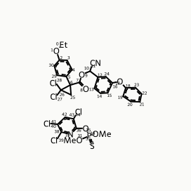 CCOc1ccc(C2(C(=O)OC(C#N)c3cccc(Oc4ccccc4)c3)CC2(Cl)Cl)cc1.COP(=S)(OC)Oc1nc(Cl)c(Cl)cc1Cl